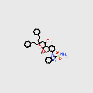 CCCc1c(C2=C(O)CC(CCc3ccccc3)(CCc3ccccc3)OC2=O)cccc1-n1c(S(N)(=O)=O)nc2ccccc21